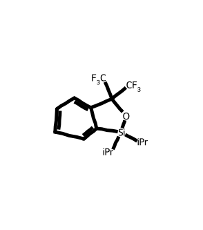 CC(C)[Si]1(C(C)C)OC(C(F)(F)F)(C(F)(F)F)c2ccccc21